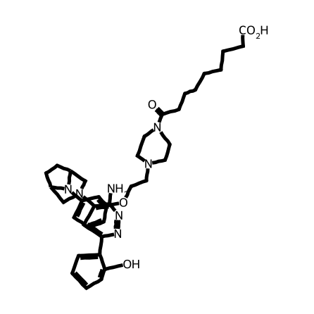 Nc1nnc(-c2ccccc2O)cc1N1CC2CCC(C1)N2c1cccc(OCCN2CCN(C(=O)CCCCCCCC(=O)O)CC2)c1